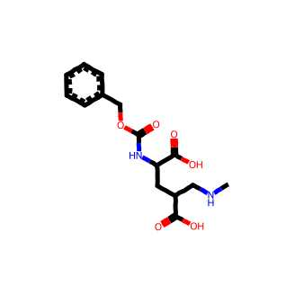 CNCC(CC(NC(=O)OCc1ccccc1)C(=O)O)C(=O)O